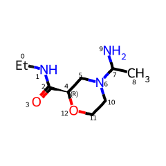 CCNC(=O)[C@H]1CN(C(C)N)CCO1